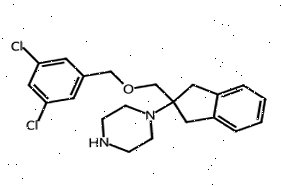 Clc1cc(Cl)cc(COCC2(N3CCNCC3)Cc3ccccc3C2)c1